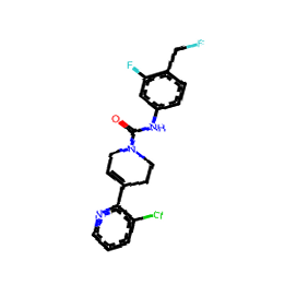 O=C(Nc1ccc(CF)c(F)c1)N1CC=C(c2ncccc2Cl)CC1